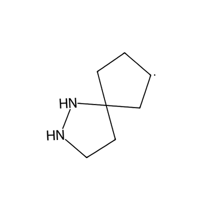 [CH]1CCC2(C1)CCNN2